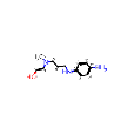 CN(CCO)CCCNc1[c]cc(N)cc1